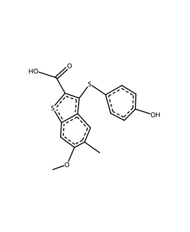 COc1cc2sc(C(=O)O)c(Sc3ccc(O)cc3)c2cc1C